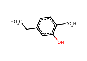 O=C(O)Cc1ccc(C(=O)O)c(O)c1